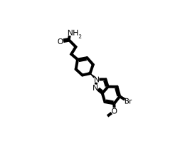 COc1cc2nn([C@@H]3CC=C(CCC(N)=O)CC3)cc2cc1Br